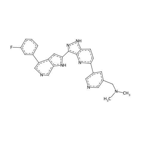 CN(C)Cc1cncc(-c2ccc3[nH]nc(-c4cc5c(-c6cccc(F)c6)cncc5[nH]4)c3n2)c1